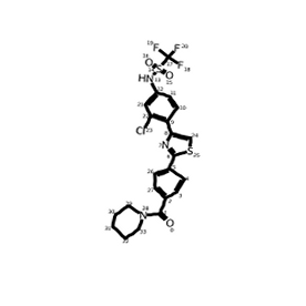 O=C(c1ccc(-c2nc(-c3ccc(NS(=O)(=O)C(F)(F)F)cc3Cl)cs2)cc1)N1CCCCC1